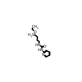 CCO[SiH2]CCCNC(=O)Nc1ccccn1